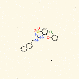 O=S1(=O)N=C(NCc2ccc3ccccc3c2)Nc2c(Oc3ccccc3Cl)cccc21